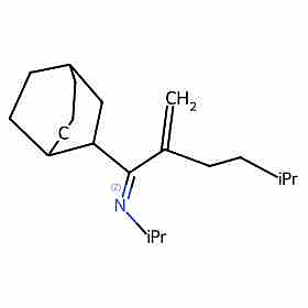 C=C(CCC(C)C)/C(=N\C(C)C)C1CC2CCCC1CC2